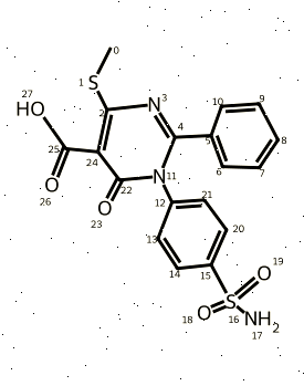 CSc1nc(-c2ccccc2)n(-c2ccc(S(N)(=O)=O)cc2)c(=O)c1C(=O)O